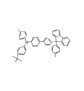 Cc1ccc(N(c2ccc(-c3ccc(C4(c5ccc(C)cc5)c5ccccc5-c5ccccc54)cc3)cc2)c2ccc(C(C)(C)C)cc2)cc1